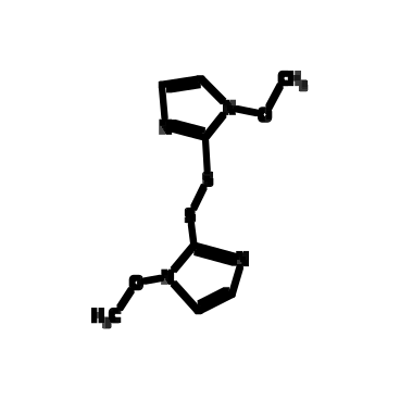 COn1ccnc1SSc1nccn1OC